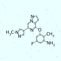 Cc1c(N)cc(F)cc1Oc1nc(-c2cnn(C)c2)cn2nccc12